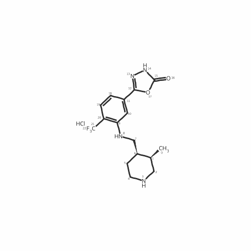 C[C@H]1CNCC[C@H]1CNc1cc(-c2n[nH]c(=O)o2)ccc1C(F)(F)F.Cl